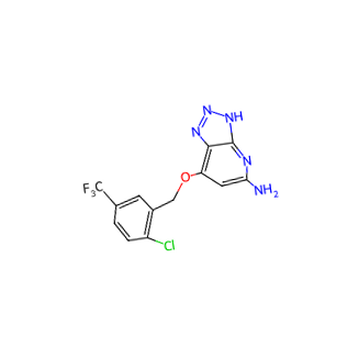 Nc1cc(OCc2cc(C(F)(F)F)ccc2Cl)c2nn[nH]c2n1